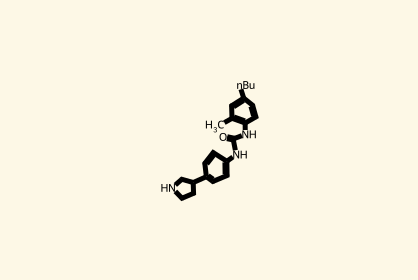 CCCCc1ccc(NC(=O)Nc2ccc(C3CCNC3)cc2)c(C)c1